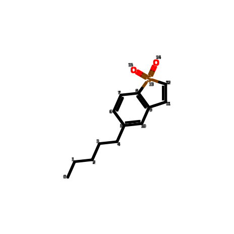 CCCCCc1ccc2c(c1)C=CS2(=O)=O